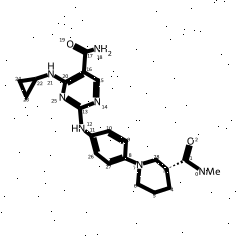 CNC(=O)[C@@H]1CCCN(c2ccc(Nc3ncc(C(N)=O)c(NC4CC4)n3)cc2)C1